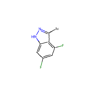 CC(=O)c1n[nH]c2cc(F)cc(F)c12